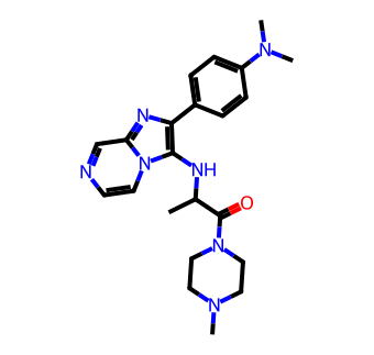 CC(Nc1c(-c2ccc(N(C)C)cc2)nc2cnccn12)C(=O)N1CCN(C)CC1